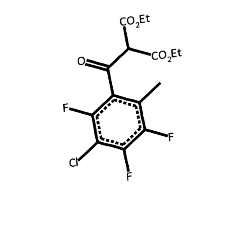 CCOC(=O)C(C(=O)OCC)C(=O)c1c(C)c(F)c(F)c(Cl)c1F